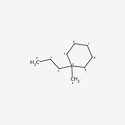 [CH2]CCC1([CH2])CCCCC1